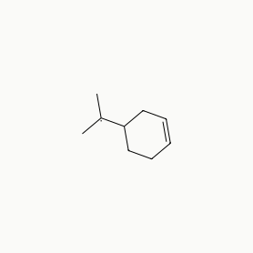 C[C](C)C1CC=CCC1